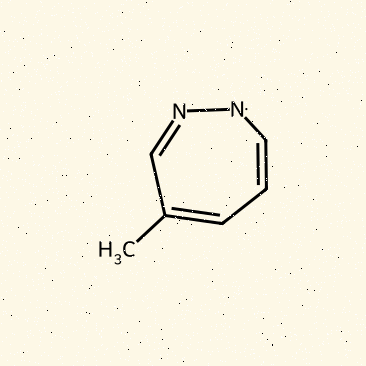 CC1=CC=C[N]N=C1